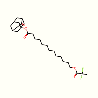 CC(F)(F)C(=O)OCCCCCCCCCCCCC(=O)OC12CC3CC(C1)C(=O)C(C3)C2